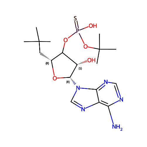 CC(C)(C)C[C@H]1O[C@@H](n2cnc3c(N)ncnc32)[C@@H](O)C1OP(O)(=S)OC(C)(C)C